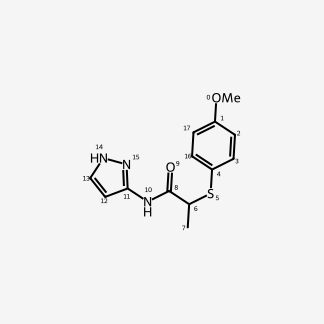 COc1ccc(SC(C)C(=O)Nc2cc[nH]n2)cc1